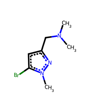 CN(C)Cc1cc(Br)n(C)n1